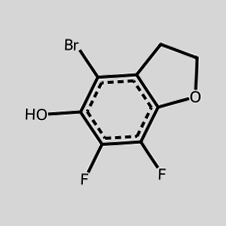 Oc1c(F)c(F)c2c(c1Br)CCO2